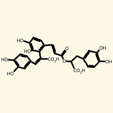 O=C(/C=C/c1ccc(O)c(O)c1/C(=C\c1ccc(O)c(O)c1)C(=O)O)OC(Cc1ccc(O)c(O)c1)C(=O)O